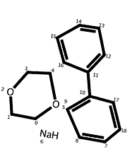 C1COCCO1.[NaH].c1ccc(-c2ccccc2)cc1